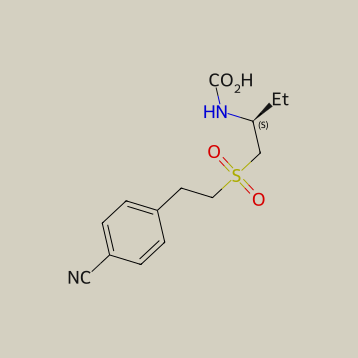 CC[C@@H](CS(=O)(=O)CCc1ccc(C#N)cc1)NC(=O)O